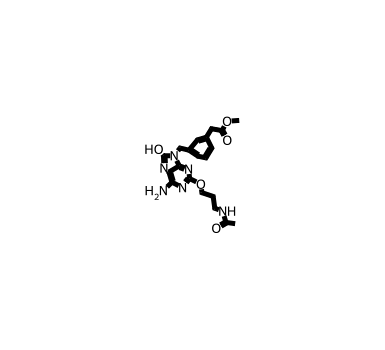 COC(=O)Cc1cccc(Cn2c(O)nc3c(N)nc(OCCCNC(C)=O)nc32)c1